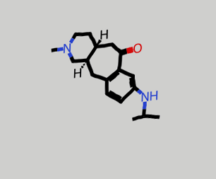 CC(C)Nc1ccc2c(c1)C(=O)C[C@H]1CCN(C)C[C@@H]1C2